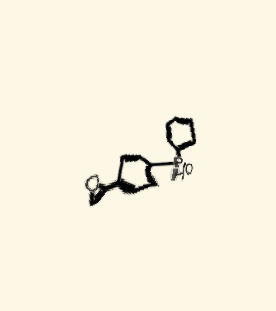 O=[PH](c1ccccc1)c1ccc(C2=CO2)cc1